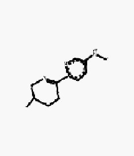 CNc1ccc(C2=NCC(C)CC2)nc1